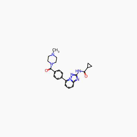 CN1CCN(C(=O)c2ccc(-c3cccc4nc(NC(=O)C5CC5)nn34)cc2)CC1